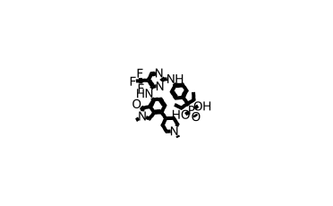 CCC(CC)(c1ccc(Nc2ncc(C(F)(F)F)c(Nc3ccc(C4CCN(C)CC4)c4c3C(=O)N(C)C4)n2)cc1)P(=O)(O)O